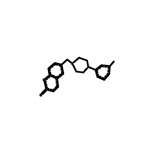 Cc1cccc(N2CCN(Cc3ccc4oc(=O)ccc4c3)CC2)c1